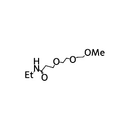 CCNC(=O)CCOCCOCCOC